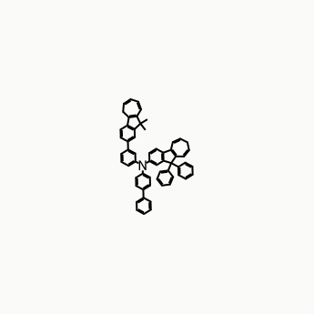 CC1(C)C2=C(CC=CC=C2)c2ccc(-c3cccc(N(c4ccc(-c5ccccc5)cc4)c4ccc5c(c4)C(c4ccccc4)(c4ccccc4)C4=C5C=CCC=C4)c3)cc21